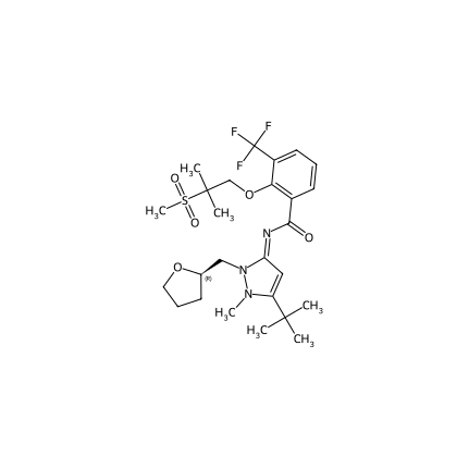 Cn1c(C(C)(C)C)cc(=NC(=O)c2cccc(C(F)(F)F)c2OCC(C)(C)S(C)(=O)=O)n1C[C@H]1CCCO1